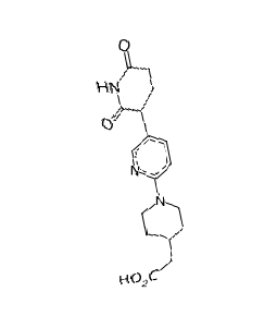 O=C(O)CC1CCN(c2ccc(C3CCC(=O)NC3=O)cn2)CC1